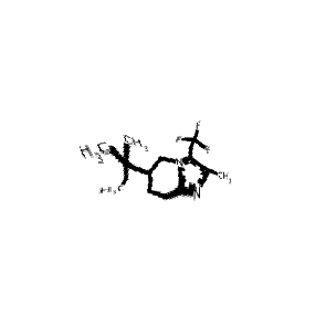 Cc1nc2n(c1C(F)(F)F)CC(C(C)(C)C)CC2